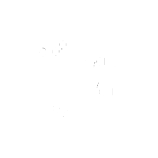 CC(=CCCC=C(C)CCCCCCC(=O)OCC1CO1)CCCCCCC(=O)O